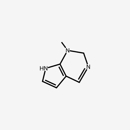 CN1CN=Cc2cc[nH]c21